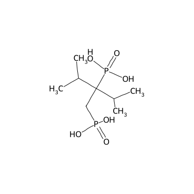 CC(C)C(CP(=O)(O)O)(C(C)C)P(=O)(O)O